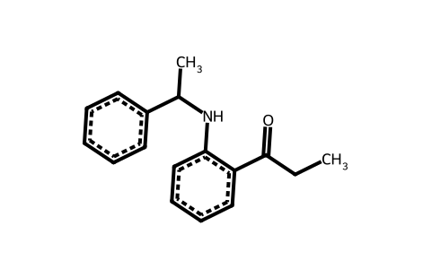 CCC(=O)c1ccccc1NC(C)c1ccccc1